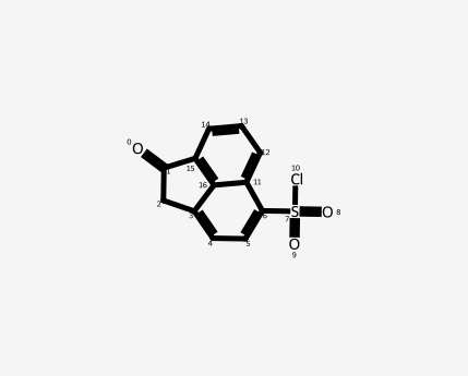 O=C1Cc2ccc(S(=O)(=O)Cl)c3cccc1c23